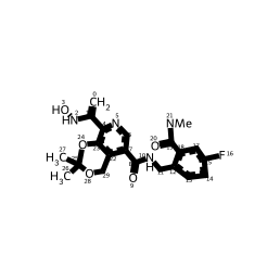 C=C(NO)c1ncc(C(=O)NCc2ccc(F)cc2C(=O)NC)c2c1OC(C)(C)OC2